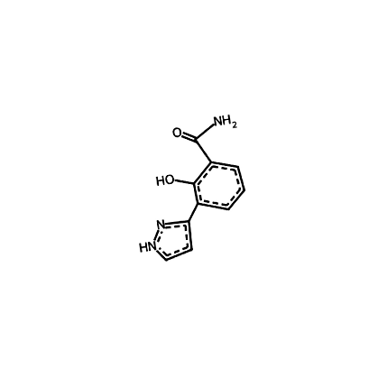 NC(=O)c1cccc(-c2cc[nH]n2)c1O